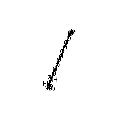 CC(C)(C)OC(=O)NCCNC(=O)CCOCCOCCOCCOCCOCCOCCOCCOCCOCCN=[N+]=[N-]